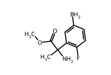 Bc1ccc(F)c(C(C)(N)C(=O)OC)c1